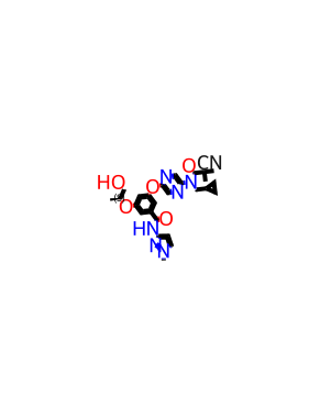 C[C@@H](CO)Oc1cc(Oc2cnc(N(CC3CC3)C(=O)C(C)(C)C#N)cn2)cc(C(=O)Nc2ccn(C)n2)c1